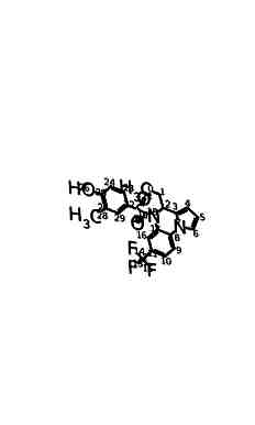 CCC1c2cccn2-c2ccc(C(F)(F)F)cc2N1S(=O)(=O)c1ccc(O)c(C)c1